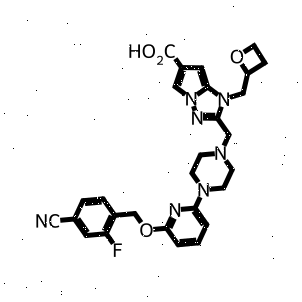 N#Cc1ccc(COc2cccc(N3CCN(Cc4nn5cc(C(=O)O)cc5n4CC4CCO4)CC3)n2)c(F)c1